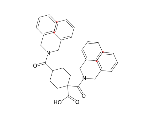 O=C(C1CCC(C(=O)O)(C(=O)N(Cc2ccccc2)Cc2ccccc2)CC1)N(Cc1ccccc1)Cc1ccccc1